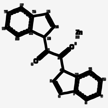 O=C(C(=O)C1C=Cc2ccccc21)C1C=Cc2ccccc21.[Zn]